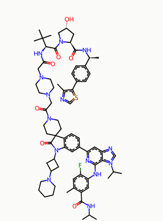 Cc1cc(F)c(Nc2nc(-c3ccc4c(c3)N(C3CC(N5CCCCC5)C3)C(=O)C43CCN(C(=O)CN4CCN(CC(=O)N[C@H](C(=O)N5C[C@H](O)C[C@H]5C(=O)N[C@@H](C)c5ccc(-c6scnc6C)cc5)C(C)(C)C)CC4)CC3)cc3ncn(C(C)C)c23)cc1C(=O)NC(C)C